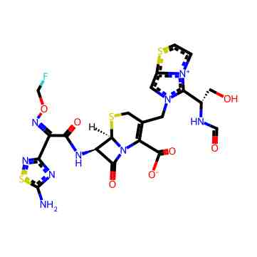 Nc1nc(/C(=N/OCF)C(=O)N[C@@H]2C(=O)N3C(C(=O)[O-])=C(Cn4cc5scc[n+]5c4[C@H](CO)NC=O)CS[C@H]23)ns1